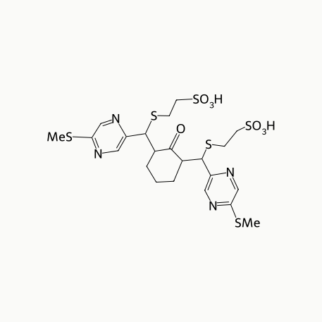 CSc1cnc(C(SCCS(=O)(=O)O)C2CCCC(C(SCCS(=O)(=O)O)c3cnc(SC)cn3)C2=O)cn1